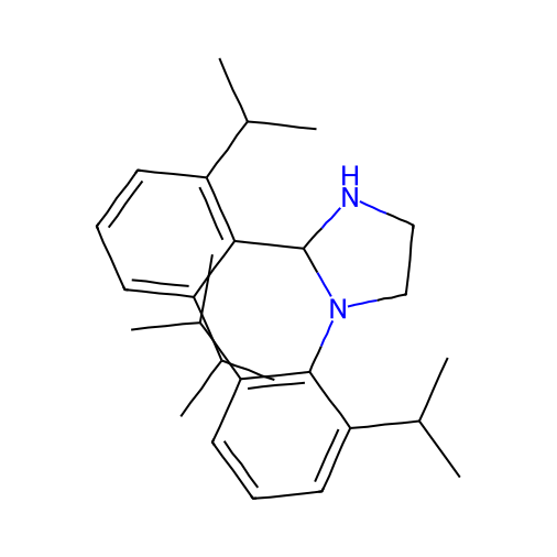 CC(C)c1cccc(C(C)C)c1C1NCCN1c1c(C(C)C)cccc1C(C)C